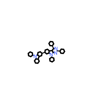 c1ccc(-c2nc(-c3ccccc3)c3c4ccc(-c5ccc6c(c5)c5ccccc5n6-c5ccccc5)cc4n(-c4ccccc4)c3n2)cc1